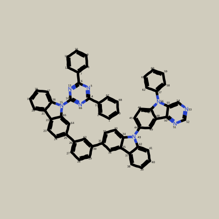 c1ccc(-c2nc(-c3ccccc3)nc(-n3c4ccccc4c4ccc(-c5cccc(-c6ccc7c(c6)c6ccccc6n7-c6ccc7c(c6)c6ncncc6n7-c6ccccc6)c5)cc43)n2)cc1